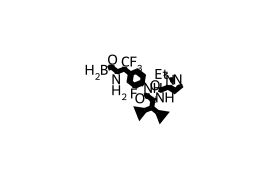 BC(=O)C(N)C(c1ccc(NC(=O)[C@@H](NC(=O)c2ccnn2CC)C(C2CC2)C2CC2)c(F)c1)C(F)(F)F